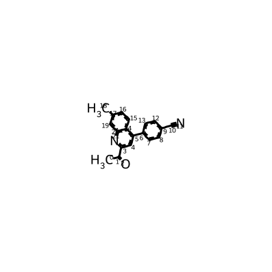 CC(=O)c1cc(-c2ccc(C#N)cc2)c2ccc(C)cc2n1